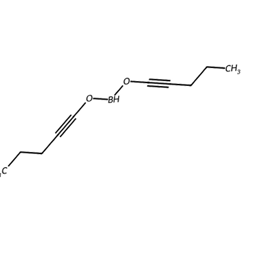 CCCC#COBOC#CCCC